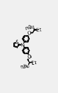 CCCCC(CC)COc1ccc(N(c2ccc(OCC(CC)CCCC)cc2)c2cccs2)cc1